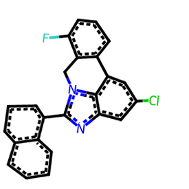 Fc1cccc2c1Cn1c(-c3cccc4ccccc34)nc3cc(Cl)cc-2c31